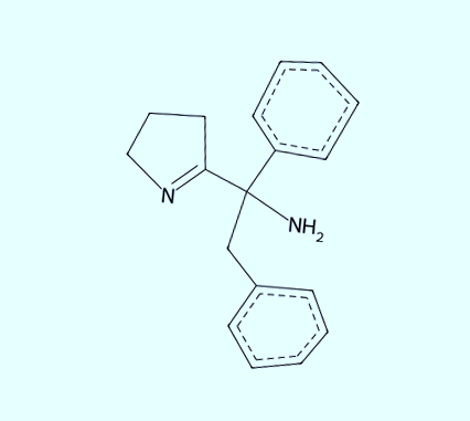 NC(Cc1ccccc1)(C1=NCCC1)c1ccccc1